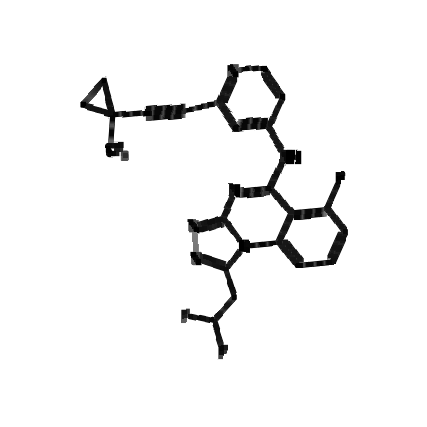 Fc1cccc2c1c(Nc1ccnc(C#CC3(C(F)(F)F)CC3)c1)nc1nnc(CC(F)F)n12